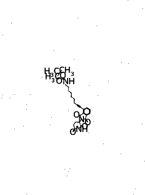 CC(C)(C)OC(=O)NCCCCCCCC#Cc1cccc2c1C(=O)N(C1CCC(=O)NC1=O)C2=O